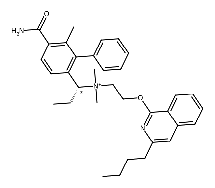 CCCCc1cc2ccccc2c(OCC[N+](C)(C)[C@H](CC)c2ccc(C(N)=O)c(C)c2-c2ccccc2)n1